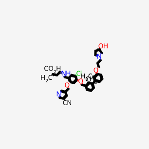 C=CC[C@H](NCc1cc(Cl)c(OCc2cccc(-c3cccc(OCCCN4CC[C@@H](O)C4)c3C)c2C)cc1OCc1cncc(C#N)c1)C(=O)O